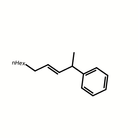 CCCCCCC/C=C/C(C)c1ccccc1